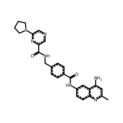 Cc1cc(N)c2cc(NC(=O)c3ccc(CNC(=O)c4cncc(N5CCCC5)n4)cc3)ccc2n1